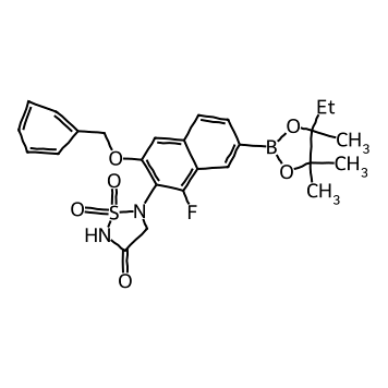 CCC1(C)OB(c2ccc3cc(OCc4ccccc4)c(N4CC(=O)NS4(=O)=O)c(F)c3c2)OC1(C)C